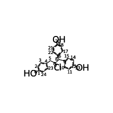 Oc1ccc(CC(Cl)C(c2ccc(O)cc2)c2ccc(O)cc2)cc1